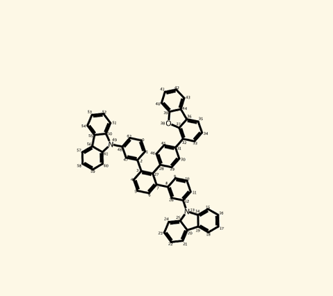 c1cc(-c2cccc(-c3cccc(-n4c5ccccc5c5ccccc54)c3)c2-c2ccc(-c3cccc4c3oc3ccccc34)cc2)cc(-n2c3ccccc3c3ccccc32)c1